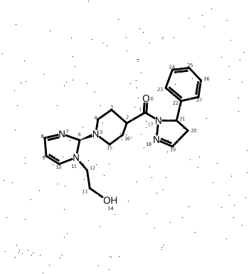 O=C(C1CCN([C@@H]2N=CC=CN2CCO)CC1)N1N=CCC1c1ccccc1